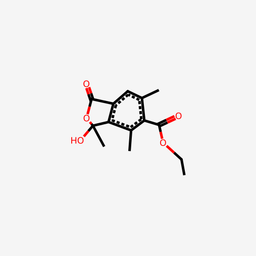 CCOC(=O)c1c(C)cc2c(c1C)C(C)(O)OC2=O